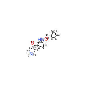 CN1CCC(C(=O)c2cccc(NOCc3ccccc3)c2)CC1